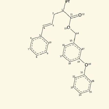 CC(C)C(CC=Cc1ccccc1)C(=O)OCc1cccc(Oc2ccccc2)c1